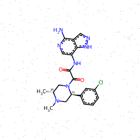 C[C@@H]1CN(C(=O)C(=O)Nc2cnc(N)c3cn[nH]c23)[C@@H](c2cccc(Cl)c2)CN1C